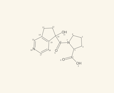 O=C(O)C1CCCN1C(=O)C1(O)CCc2cnccc21